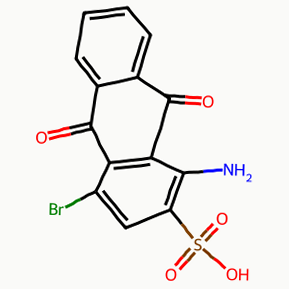 Nc1c(S(=O)(=O)O)cc(Br)c2c1C(=O)c1ccccc1C2=O